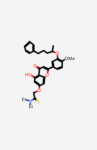 CCN(CC)C(=S)COc1cc(O)c2c(=O)cc(-c3ccc(OC)c(OC(C)CCCc4ccccc4)c3)oc2c1